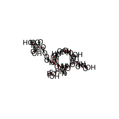 CCCCCC[C@@H]1NC(=O)[C@H](Cc2ccc(CNC(=O)COCCOCCNC(=O)CCC(C(=O)O)N3CCN(CC(=O)O)CCN(CC(=O)O)CC3)cc2)NC(=O)[C@H](Cc2ccccc2)N(C)C(=O)CNC(=O)CNC(=O)[C@H]2CCCN2C(=O)[C@H](CC(=O)O)NC(=O)[C@H](CCCCNC(=O)N2CCN(CC(=O)O)CC2)NC(=O)CNC(=O)[C@H](Cc2c[nH]c3ccccc23)NC1=O.O=C(O)C(F)(F)F